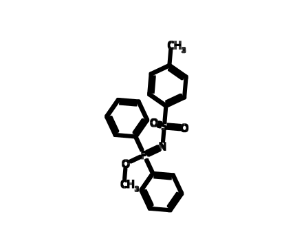 COP(=NS(=O)(=O)c1ccc(C)cc1)(c1ccccc1)c1ccccc1